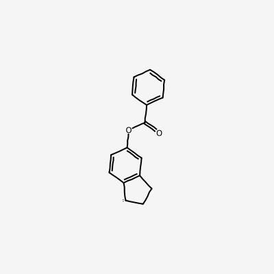 O=C(Oc1ccc2c(c1)CC[C]2)c1ccccc1